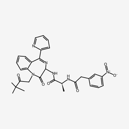 C[C@H](NC(=O)Cc1cccc([N+](=O)[O-])c1)C(=O)NC1N=C(c2ccccn2)c2ccccc2N(CC(=O)C(C)(C)C)C1=O